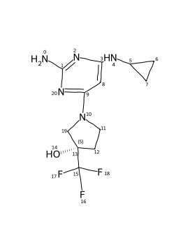 Nc1nc(NC2CC2)cc(N2CC[C@@](O)(C(F)(F)F)C2)n1